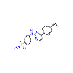 NS(=O)(=O)c1ccc(Nc2nccc(-c3ccc([N+](=O)[O-])cc3)n2)cc1